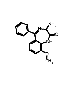 COc1cccc2c1NC(=O)C(N)N=C2c1ccccc1